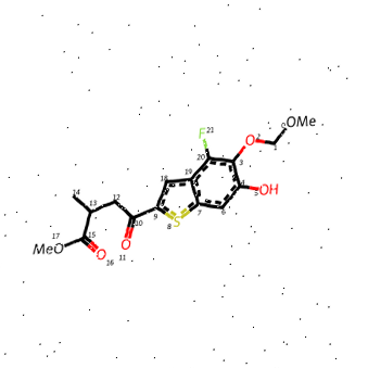 COCOc1c(O)cc2sc(C(=O)CC(C)C(=O)OC)cc2c1F